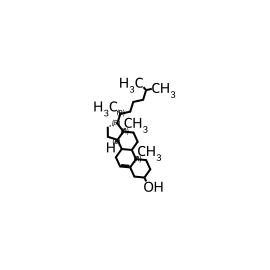 CC(C)CCC[C@@H](C)[C@H]1CC[C@H]2C3CC=C4CC(O)CC[C@]4(C)C3CC[C@]12C